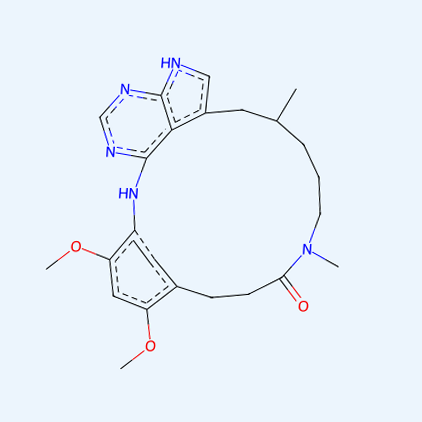 COc1cc(OC)c2cc1CCC(=O)N(C)CCCC(C)Cc1c[nH]c3ncnc(c13)N2